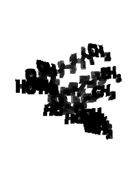 CCCCCCCCCc1ccccc1O.CCCCCCCCCc1ccccc1O.CCCCCCCCO.O=C(O)O.O=C(O)O.[BaH2].[BaH2].[BaH2]